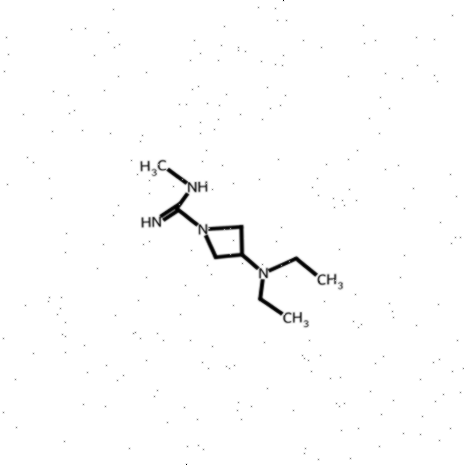 CCN(CC)C1CN(C(=N)NC)C1